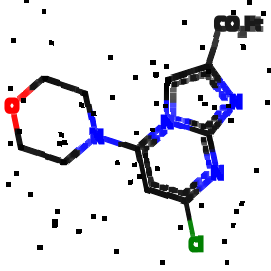 CCOC(=O)c1cn2c(N3CCOCC3)cc(Cl)nc2n1